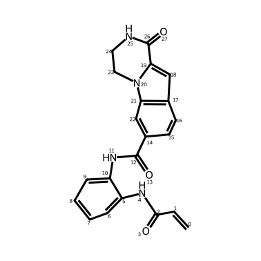 C=CC(=O)Nc1ccccc1NC(=O)c1ccc2cc3n(c2c1)CCNC3=O